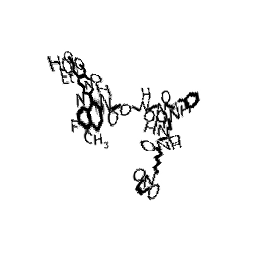 CC[C@@]1(O)C(=O)OCc2c1cc1n(c2=O)Cc2c-1nc1cc(F)c(C)c3c1c2[C@@H](NC(=O)COCCNC(=O)CNC(=O)[C@H](Cc1ccccc1)NC(=O)CNC(=O)CNC(=O)CCCCCN1C(=O)C=CC1=O)CC3